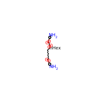 CCCCCC[C@H](C/C=C\CCCCCCCC(=O)OCc1ccc(N)cc1)OC(=O)CCC(=O)OCc1ccc(N)cc1